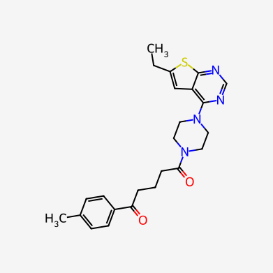 CCc1cc2c(N3CCN(C(=O)CCCC(=O)c4ccc(C)cc4)CC3)ncnc2s1